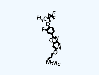 CC(=O)NCCCOc1cc2oc(-c3ccc(OCC4(C)CC4(F)F)c(F)c3)nc2cn1